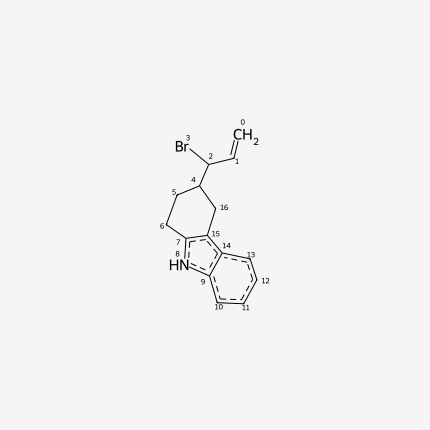 C=CC(Br)C1CCc2[nH]c3ccccc3c2C1